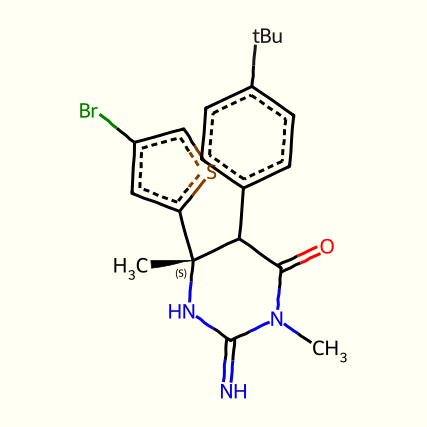 CN1C(=N)N[C@](C)(c2cc(Br)cs2)C(c2ccc(C(C)(C)C)cc2)C1=O